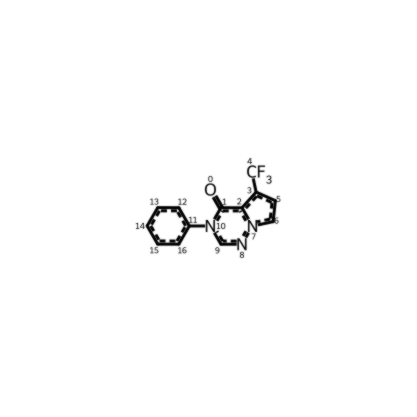 O=c1c2c(C(F)(F)F)ccn2ncn1-c1ccccc1